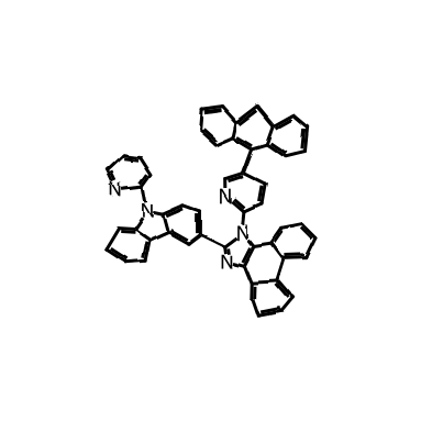 c1ccc(-n2c3ccccc3c3cc(-c4nc5c6ccccc6c6ccccc6c5n4-c4ccc(-c5c6ccccc6cc6ccccc56)cn4)ccc32)nc1